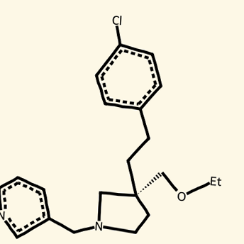 CCOC[C@]1(CCc2ccc(Cl)cc2)CCN(Cc2cccnc2)C1